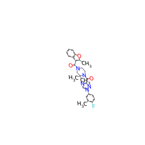 Cc1cc(-n2cnc(C(=O)N3CCN(C(=O)c4c(C)oc5ccccc45)CC3(C)C)n2)ccc1F